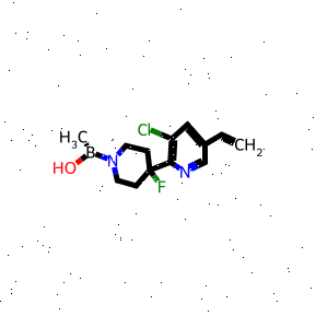 C=Cc1cnc(C2(F)CCN(B(C)O)CC2)c(Cl)c1